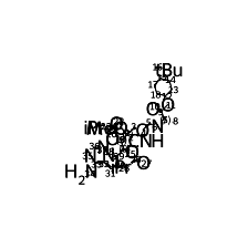 CO[C@](C#N)(COCN[C@@H](C)C(=O)OC1CCC(C(C)(C)C)CC1)[C@@H](OC(=O)C(C)C)[C@@H](OC(=O)C(C)C)c1ccc2c(N)ncnn12